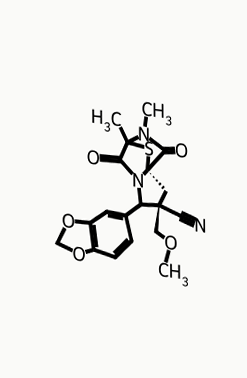 COC[C@]1(C#N)C[C@@]23SC(C)(C(=O)N2C1c1ccc2c(c1)OCO2)N(C)C3=O